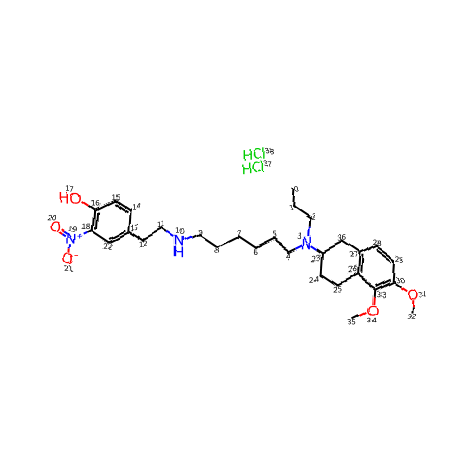 CCCN(CCCCCCNCCc1ccc(O)c([N+](=O)[O-])c1)C1CCc2c(ccc(OC)c2OC)C1.Cl.Cl